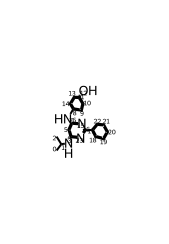 CC(C)Nc1cc(Nc2ccc(O)cc2)nc(-c2ccccc2)n1